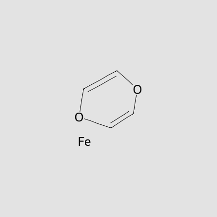 C1=COC=CO1.[Fe]